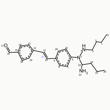 CCCCNN(c1ccc(/C=C/c2ccc(C=O)cc2)cc1)C(N)CCC